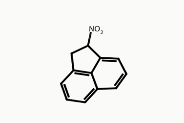 O=[N+]([O-])C1Cc2cccc3cccc1c23